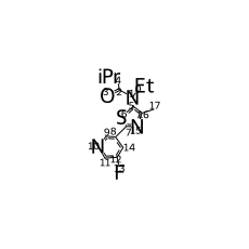 CCN(C(=O)C(C)C)c1sc(-c2cncc(F)c2)nc1C